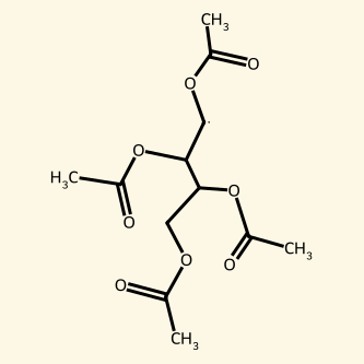 CC(=O)O[CH]C(OC(C)=O)C(COC(C)=O)OC(C)=O